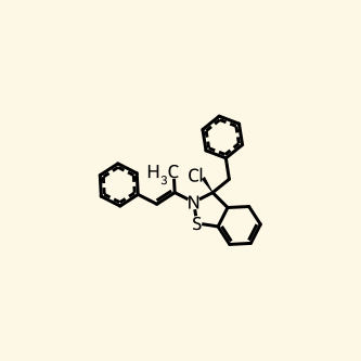 C/C(=C\c1ccccc1)N1SC2=CC=CCC2[C@@]1(Cl)Cc1ccccc1